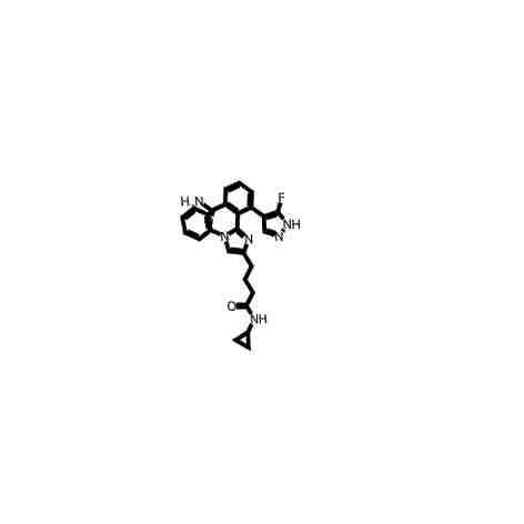 NC(=O)c1cccc(-c2cn[nH]c2F)c1-c1nc(CCCC(=O)NC2CC2)cn1-c1ccccc1